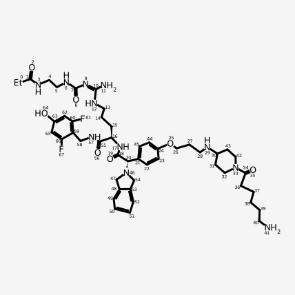 CCC(=O)NCCNC(=O)/N=C(/N)NCCC[C@@H](NC(=O)[C@H](c1ccc(OCCCNC2CCN(C(=O)CCCCCN)CC2)cc1)N1Cc2ccccc2C1)C(=O)NCc1c(F)cc(O)cc1F